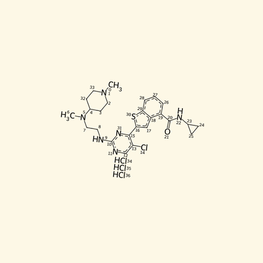 CN1CCC(N(C)CCNc2ncc(Cl)c(-c3cc4c(C(=O)NC5CC5)cccc4s3)n2)CC1.Cl.Cl.Cl